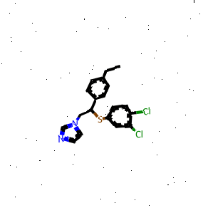 CCc1ccc(C(Cn2ccnc2)Sc2ccc(Cl)c(Cl)c2)cc1